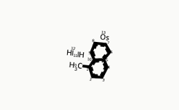 Cc1cccc2ccccc12.I.I.[Os]